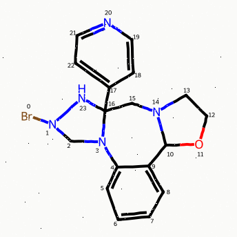 BrN1CN2c3ccccc3C3OCCN3CC2(c2ccncc2)N1